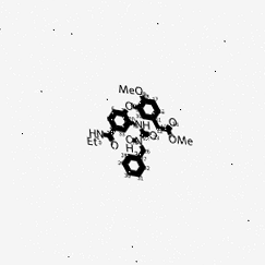 CCNC(=O)c1ccc(Oc2cc(CC(=O)OC)ccc2OC)c(NC(=O)N(C)Cc2ccccc2)c1